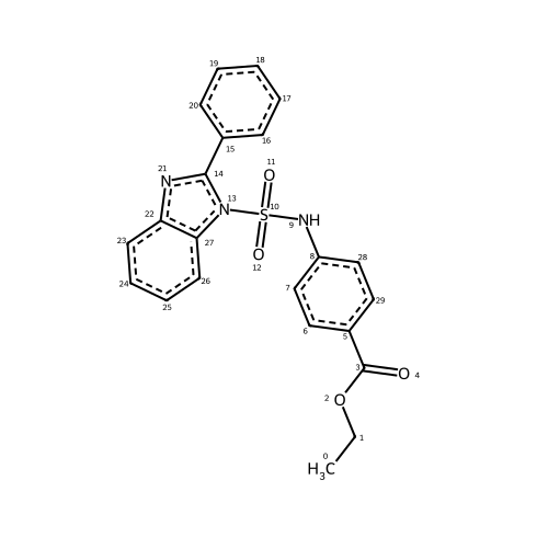 CCOC(=O)c1ccc(NS(=O)(=O)n2c(-c3ccccc3)nc3ccccc32)cc1